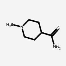 BN1CCC(C(N)=S)CC1